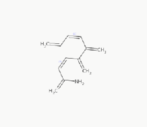 C=C/C=C\C(=C)C(=C)/C=C\C(=C)N